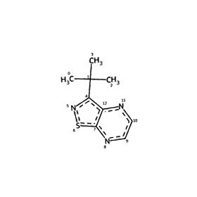 CC(C)(C)c1nsc2nccnc12